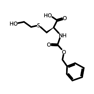 O=C(N[C@@H](CSCCO)C(=O)O)OCc1ccccc1